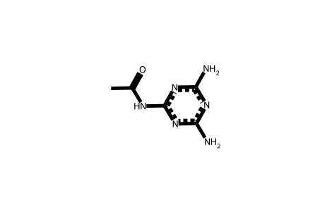 CC(=O)Nc1nc(N)nc(N)n1